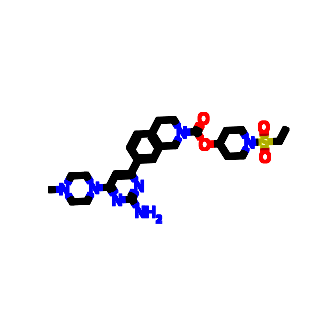 CCS(=O)(=O)N1CCC(OC(=O)N2CCc3ccc(-c4cc(N5CCN(C)CC5)nc(N)n4)cc3C2)CC1